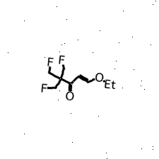 CCO/C=C/C(=O)C(CF)(CF)CF